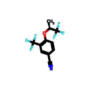 C[C@H](Oc1ccc(C#N)cc1C(F)(F)F)C(F)(F)F